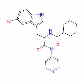 O=C(NC(Cc1c[nH]c2ccc(O)cc12)C(=O)Nc1ccncc1)C1CCCCC1